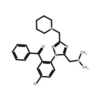 CN(C)Cc1nc(CN2CCCCC2)nn1-c1ccc(Cl)cc1C(=O)c1ccccc1